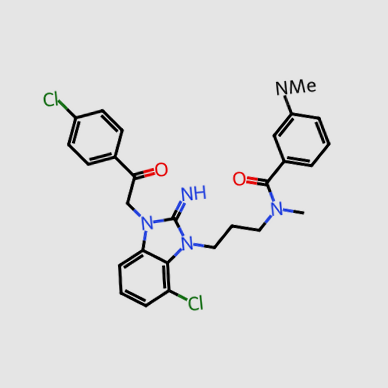 CNc1cccc(C(=O)N(C)CCCn2c(=N)n(CC(=O)c3ccc(Cl)cc3)c3cccc(Cl)c32)c1